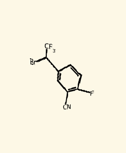 N#Cc1cc(C(Br)C(F)(F)F)ccc1F